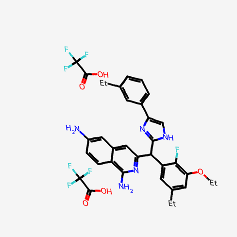 CCOc1cc(CC)cc(C(c2cc3cc(N)ccc3c(N)n2)c2nc(-c3cccc(CC)c3)c[nH]2)c1F.O=C(O)C(F)(F)F.O=C(O)C(F)(F)F